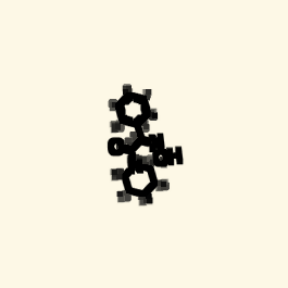 O=C(C(=NO)c1ccccc1)N1CCCCC1